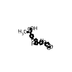 CC#C[C@@H](CC(=O)O)c1ccc(O[C@@H]2CCc3c(-c4ccc(OC5CCS(=O)(=O)CC5)nc4)ccc(F)c32)cc1